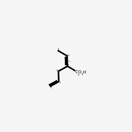 C=CC/C(=C\C)C(=O)O